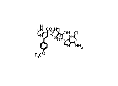 Nc1nc(Cl)nc2c1ncn2[C@@H]1O[C@H](COC(CCc2ccc(OC(F)(F)F)cc2)(C(=O)O)c2nnn[nH]2)[C@@H](O)[C@H]1O